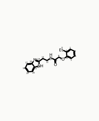 CCc1ccccc1OCC(=O)NCCc1nc2ccccc2[nH]1